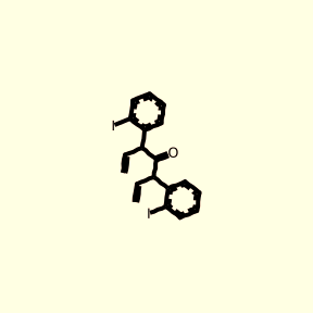 C=CC(C(=O)C(C=C)c1ccccc1I)c1ccccc1I